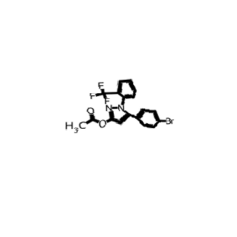 CC(=O)Oc1cc(-c2ccc(Br)cc2)n(-c2ccccc2C(F)(F)F)n1